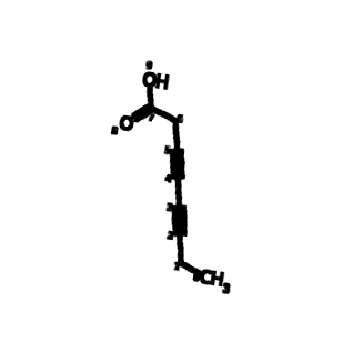 CCC#CC#CCC(=O)O